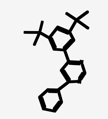 CC(C)(C)c1cc(-c2cc(-c3ccccc3)ncn2)cc(C(C)(C)C)c1